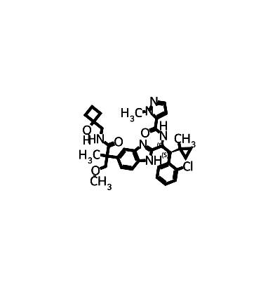 COCC(C)(C(=O)NCC1(O)CCC1)c1ccc2[nH]c([C@@H](NC(=O)c3ccnn3C)[C@H](c3ccccc3Cl)C3(C)CC3)nc2c1